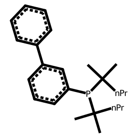 CCCC(C)(C)P(c1cccc(-c2ccccc2)c1)C(C)(C)CCC